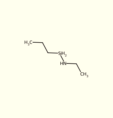 CCC[SiH2]NCC